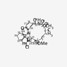 CO[C@@H]1/C=C/C[C@@H](C)[C@H](C)S(=O)(=O)NC(=O)c2ccc3c(c2)N(C[C@H]2CC[C@H]21)C[C@@]1(CCCc2cc(Cl)ccc21)CO3